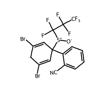 N#Cc1ccccc1C1([S+]([O-])C(F)(F)C(F)(F)C(F)(F)F)C=C(Br)[CH]C(Br)=C1